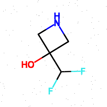 OC1(C(F)F)CNC1